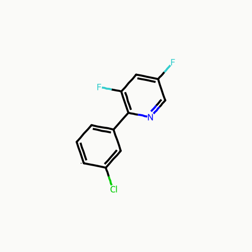 Fc1cnc(-c2cc[c]c(Cl)c2)c(F)c1